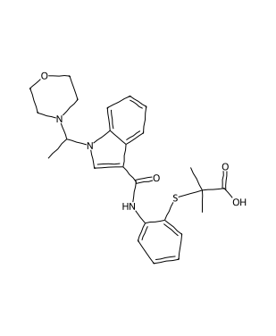 CC(N1CCOCC1)n1cc(C(=O)Nc2ccccc2SC(C)(C)C(=O)O)c2ccccc21